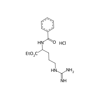 CCOC(=O)C(CCCNC(=N)N)NC(=O)c1ccccc1.Cl